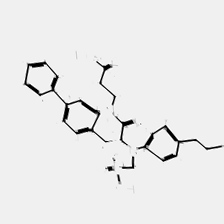 CCCc1ccc(N(CP(=O)(O)O)[C@@H](Cc2ccc(-c3ccccc3)cc2)C(=O)NCCC(=O)O)cc1